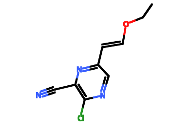 CCO/C=C/c1cnc(Cl)c(C#N)n1